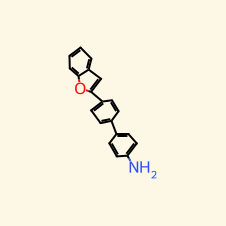 Nc1ccc(-c2ccc(-c3cc4ccccc4o3)cc2)cc1